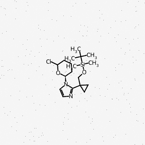 CC(C)(C)[Si](C)(C)OCC1(c2nccn2[C@@H]2CCCC(Cl)O2)CC1